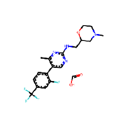 Cc1nc(NCC2CN(C)CCO2)ncc1-c1ccc(C(F)(F)F)cc1F.O=CO